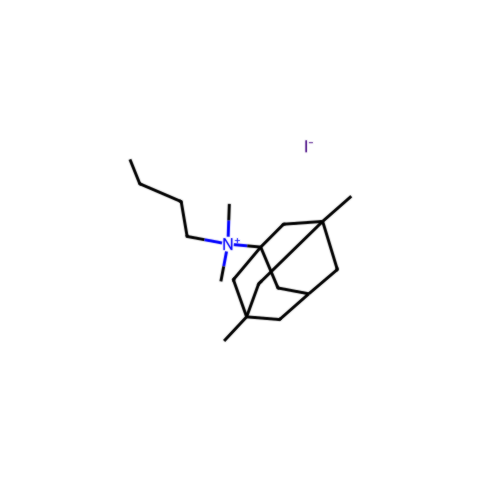 CCCC[N+](C)(C)C12CC3CC(C)(CC(C)(C3)C1)C2.[I-]